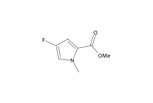 COC(=O)c1cc(F)cn1C